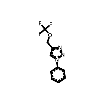 FC(F)(I)OCc1cn(-c2ccccc2)nn1